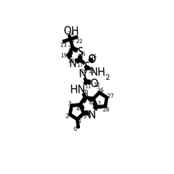 CC1CCc2c1nc1c(c2NC(=O)N=S(N)(=O)c2ncc(C(C)(C)O)s2)CCC1